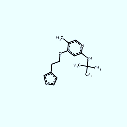 Cc1cnc(NC(C)(C)C)cc1OCCc1ccsc1